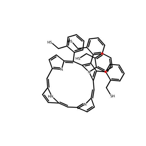 SCc1ccccc1-c1c(-c2ccccc2CS)c2c(-c3ccccc3CS)c3nc(cc4ccc(cc5nc(cc1n2-c1ccccc1CS)C=C5)[nH]4)C=C3